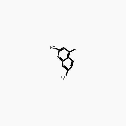 Cc1cc(O)nc2cc(C(F)(F)F)ccc12